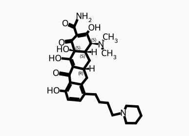 CN(C)[C@@H]1C(O)=C(C(N)=O)C(=O)[C@@]2(O)C(O)=C3C(=O)c4c(O)ccc(CCCCN5CCCCC5)c4C[C@H]3C[C@@H]12